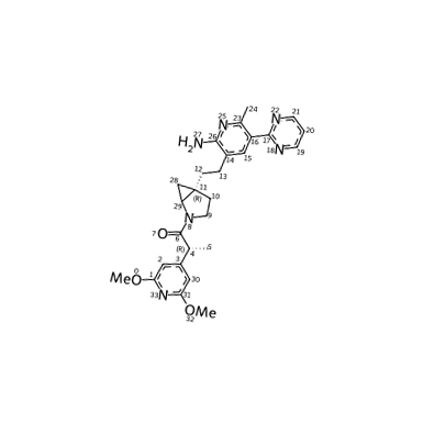 COc1cc([C@@H](C)C(=O)N2CC[C@]3(CCc4cc(-c5ncccn5)c(C)nc4N)CC23)cc(OC)n1